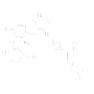 CC(C)C(CCCN(C)C)N1CC2(CCN(c3ccnnc3Oc3ccc(F)cc3C(=O)N(C(C)C)C(C)C)C2)C1